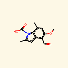 COc1cc(C)c2c(cc(C)n2C(=O)O)c1C=O